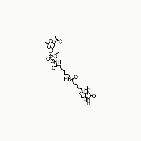 CCOP(=O)(OCC(COC(C)=O)OC(C)=O)ONC(=O)CCCCCNC(=O)CCCCC1SC[C@@H]2NC(=O)N[C@H]12